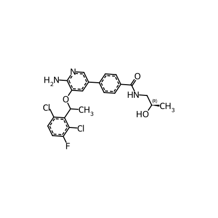 CC(Oc1cc(-c2ccc(C(=O)NC[C@@H](C)O)cc2)cnc1N)c1c(Cl)ccc(F)c1Cl